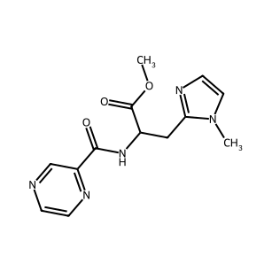 COC(=O)C(Cc1nccn1C)NC(=O)c1cnccn1